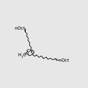 CCCCCCCCC=CCCCCCCCCOC(CCCCCCCCC/C=C/CCCCCCCC)CN(C)C